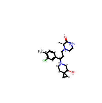 C[C@H]1C(=O)NCCN1CCC(c1ccc(C(F)(F)F)c(Cl)c1)N1CCC2(CC2)[C@H](O)C1